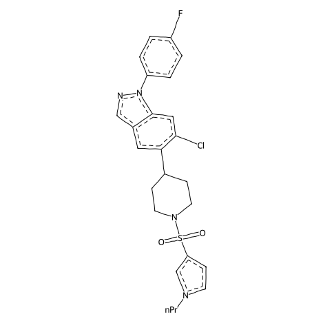 CCCn1ccc(S(=O)(=O)N2CCC(c3cc4cnn(-c5ccc(F)cc5)c4cc3Cl)CC2)c1